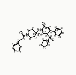 O=C(CCc1ccccc1)N1CCC(O)(Cn2cc(C(=O)N3CCCC3)c(-c3ccccc3)cc2=O)CC1